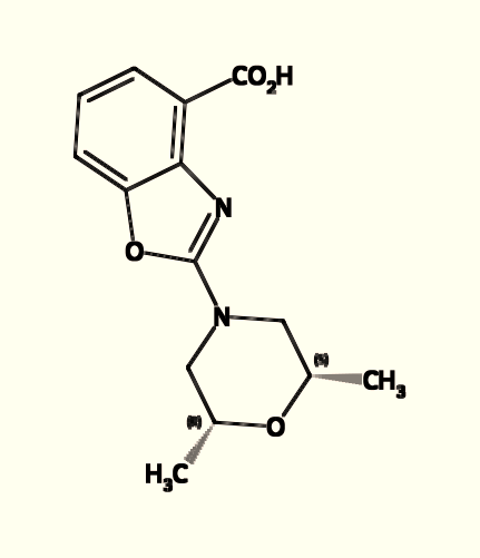 C[C@@H]1CN(c2nc3c(C(=O)O)cccc3o2)C[C@H](C)O1